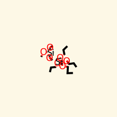 CCCO[Si](OCCC)(OCCC)OCCC.CO[Si](C)(OC)OC